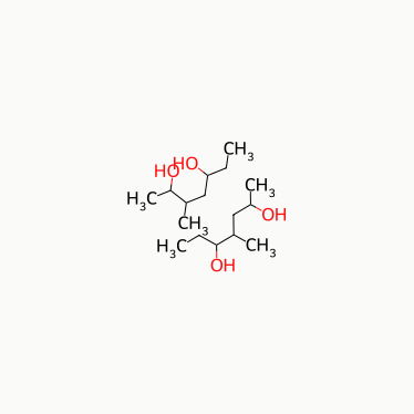 CCC(O)C(C)CC(C)O.CCC(O)CC(C)C(C)O